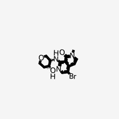 Cn1ccc2c(Br)cnc(N[C@@H]3COCC[C@@H]3O)c2c1=O